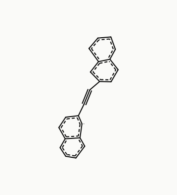 C(#Cc1ccc2ccccc2c1)c1[c]c2ccccc2cc1